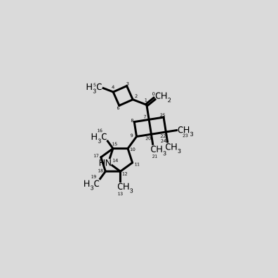 C=C(C1CC(C)C1)C12CC(C3CC4(C)NC3(C)CC4C)C1(C)C(C)(C)C2